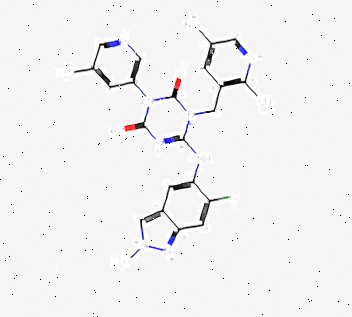 Cc1cncc(-n2c(=O)nc(Nc3cc4cn(C)nc4cc3Cl)n(Cc3cc(C#N)cnc3C)c2=O)c1